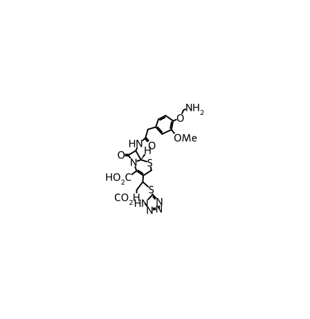 COc1cc(CC(=O)NC2C(=O)N3C(C(=O)O)=C(C(CC(=O)O)Sc4nnn[nH]4)CS[C@@H]23)ccc1OCN